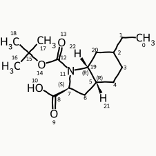 CCC1CC[C@@H]2C[C@@H](C(=O)O)N(C(=O)OC(C)(C)C)[C@@H]2C1